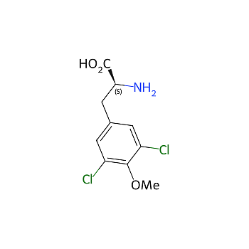 COc1c(Cl)cc(C[C@H](N)C(=O)O)cc1Cl